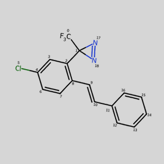 FC(F)(F)C1(c2cc(Cl)ccc2C=Cc2ccccc2)N=N1